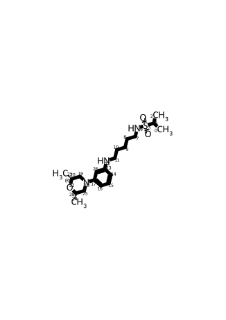 CC(C)S(=O)(=O)NCCCCCNc1cccc(N2C[C@@H](C)O[C@@H](C)C2)c1